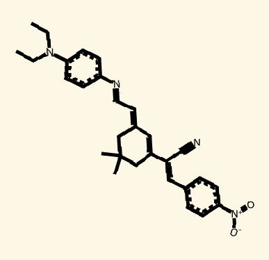 CCN(CC)c1ccc(/N=C/C=C2C=C(/C(C#N)=C/c3ccc([N+](=O)[O-])cc3)CC(C)(C)C/2)cc1